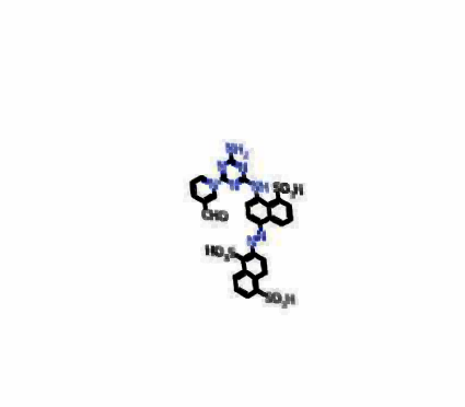 Nc1nc(Nc2ccc(N=Nc3ccc4c(S(=O)(=O)O)cccc4c3S(=O)(=O)O)c3cccc(S(=O)(=O)O)c23)nc(-[n+]2cccc(C=O)c2)n1